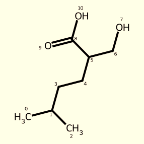 CC(C)CCC(CO)C(=O)O